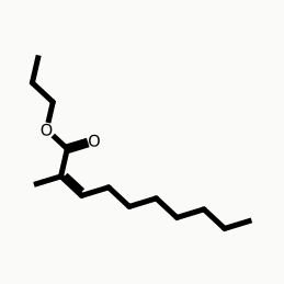 CCCCCCCC=C(C)C(=O)OCCC